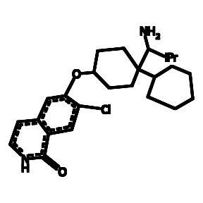 CC(C)C(N)C1(C2CCCCC2)CCC(Oc2cc3cc[nH]c(=O)c3cc2Cl)CC1